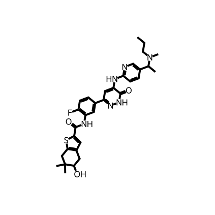 CCCN(C)C(C)c1ccc(Nc2cc(-c3ccc(F)c(NC(=O)c4cc5c(s4)CC(C)(C)C(O)C5)c3)n[nH]c2=O)nc1